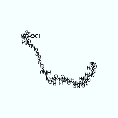 Cc1sc2c(c1C)C(c1ccc(Cl)cc1)=N[C@@H](CC(=O)NC1CCN(CCOCCOCCOCCOCCOCCC(=O)NCCCN(CCCNC(=O)CCNC(=O)c3nc(NC(=O)CCNC(=O)c4cc(NC(=O)c5nc(NC(=O)CCNC(=O)c6cc(NC(=O)c7nccn7C)cn6C)cn5C)cn4C)cn3C)CC(F)(F)F)CC1)c1nnc(C)n1-2